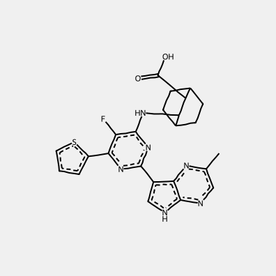 Cc1cnc2[nH]cc(-c3nc(NC4C5CCC(CC5)C4C(=O)O)c(F)c(-c4cccs4)n3)c2n1